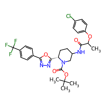 CC(Oc1ccc(Cl)cc1)C(=O)NC1CC[C@@H](c2nnc(-c3ccc(C(F)(F)F)cc3)o2)N(C(=O)OC(C)(C)C)C1